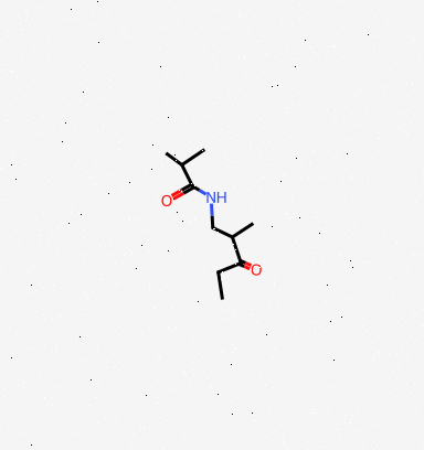 CCC(=O)C(C)CNC(=O)C(C)C